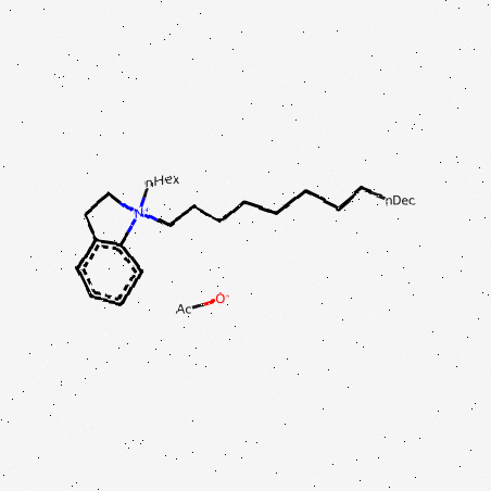 CC(=O)[O-].CCCCCCCCCCCCCCCCCC[N+]1(CCCCCC)CCc2ccccc21